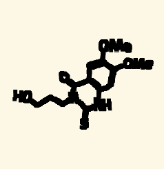 COc1cc2[nH]c(=S)n(CCCO)c(=O)c2cc1OC